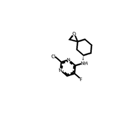 Fc1cnc(Cl)nc1N[C@H]1CCCC2(CO2)C1